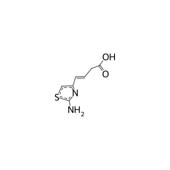 Nc1nc(/C=C/CC(=O)O)cs1